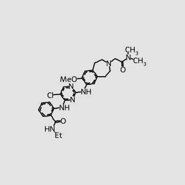 CCNC(=O)c1ccccc1Nc1nc(Nc2cc3c(cc2OC)CCN(CC(=O)N(C)C)CC3)ncc1Cl